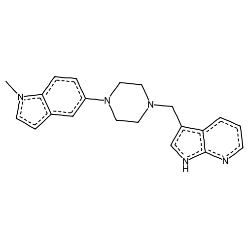 Cn1ccc2cc(N3CCN(Cc4c[nH]c5ncccc45)CC3)ccc21